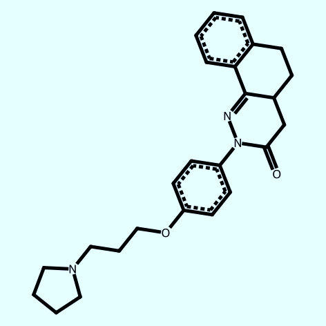 O=C1CC2CCc3ccccc3C2=NN1c1ccc(OCCCN2CCCC2)cc1